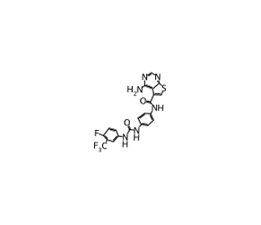 Nc1ncnc2scc(C(=O)Nc3ccc(NC(=O)Nc4ccc(F)c(C(F)(F)F)c4)cc3)c12